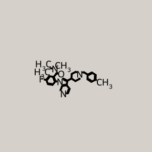 Cc1ccc(CN2CCC(c3cn(-c4ccc(F)cc4C(=O)N(C)C(C)C)c4cnccc34)CC2)cc1